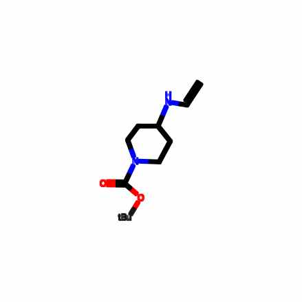 C=CNC1CCN(C(=O)OC(C)(C)C)CC1